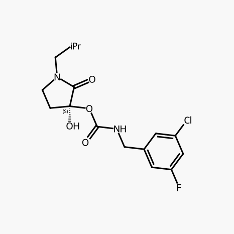 CC(C)CN1CC[C@](O)(OC(=O)NCc2cc(F)cc(Cl)c2)C1=O